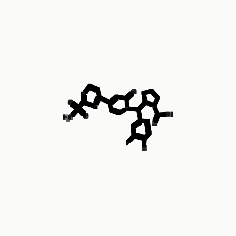 CS(=O)(=O)c1nccc(-c2ccn(C(c3ccc(Cl)c(F)c3)C3CCCN3C(=O)O)c(=O)c2)n1